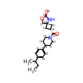 CCC(C)c1ccc(C2CCN(C(=O)[C@H]3C[C@]4(COC(=O)N4)C3)CC2)cc1